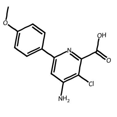 COc1ccc(-c2cc(N)c(Cl)c(C(=O)O)n2)cc1